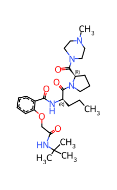 CCC[C@@H](NC(=O)c1ccccc1OCC(=O)NC(C)(C)C)C(=O)N1CCC[C@@H]1C(=O)N1CCN(C)CC1